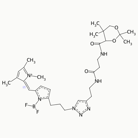 CC1=CC(C)=[N+](C)/C1=C\c1ccc(CCCn2cc(CCNC(=O)CCNC(=O)C3OC(C)(C)OCC3(C)C)nn2)n1B(F)F